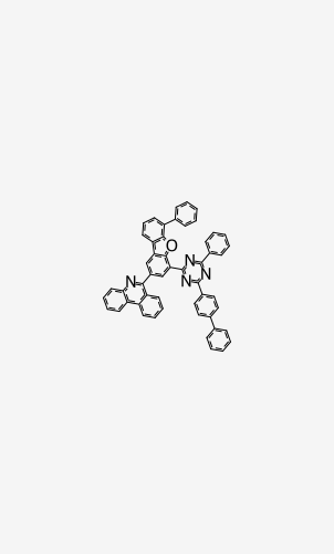 c1ccc(-c2ccc(-c3nc(-c4ccccc4)nc(-c4cc(-c5nc6ccccc6c6ccccc56)cc5c4oc4c(-c6ccccc6)cccc45)n3)cc2)cc1